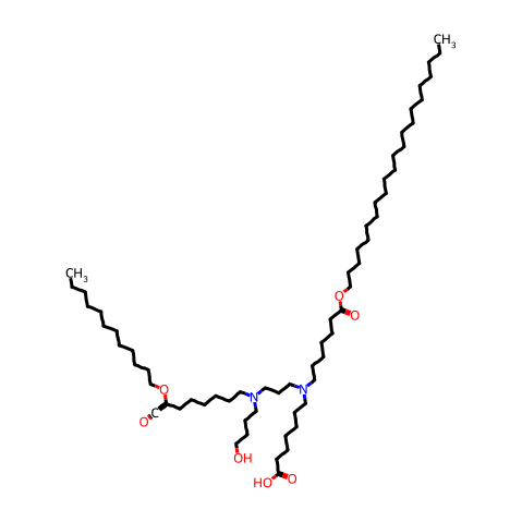 CCCCCCCCCCCCCCCCCCCCCCOC(=O)CCCCCCN(CCCCCCC(=O)O)CCCN(CCCCO)CCCCCCC(=C=O)OCCCCCCCCCCCC